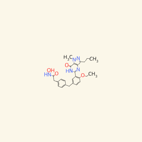 CCCc1nn(C)c2c(=O)[nH]c(-c3cc(Cc4ccc(CC(=O)NO)cc4)ccc3OCC)nc12